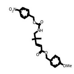 COc1ccc(COC(=O)C=CC(C)(C)CNC(=O)OCc2ccc([N+](=O)[O-])cc2)cc1